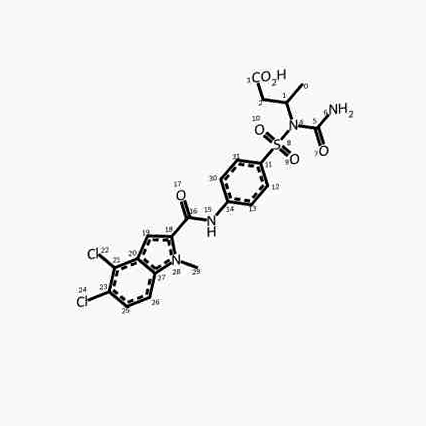 CC(CC(=O)O)N(C(N)=O)S(=O)(=O)c1ccc(NC(=O)c2cc3c(Cl)c(Cl)ccc3n2C)cc1